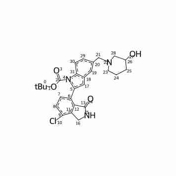 CC(C)(C)OC(=O)n1c(-c2ccc(Cl)c3c2C(=O)NC3)cc2cc(CN3CCCC(O)C3)ccc21